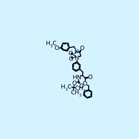 COc1ccc(CN2C(=O)CN(c3cccc(CC(NC(=O)OC(C)(C)C)C(=O)OCc4ccccc4)c3)S2(=O)=O)cc1